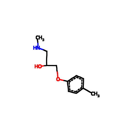 CNCC(O)COc1ccc(C)cc1